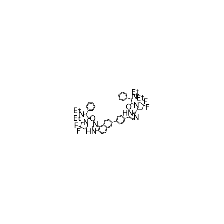 CCN(CC)[C@@H](C(=O)N1CC(F)(F)C[C@H]1c1ncc(-c2ccc(-c3ccc4c(ccc5[nH]c([C@@H]6CC(F)(F)CN6C(=O)[C@@H](c6ccccc6)N(CC)CC)nc54)c3)cc2)[nH]1)c1ccccc1